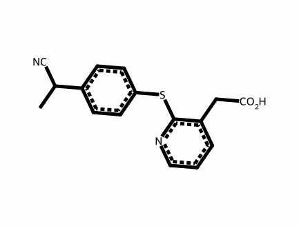 CC(C#N)c1ccc(Sc2ncccc2CC(=O)O)cc1